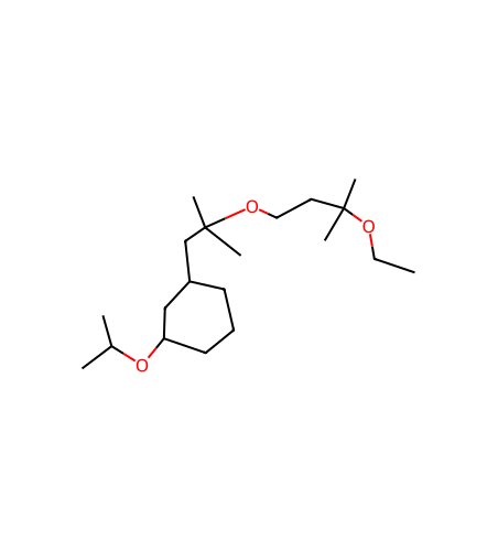 CCOC(C)(C)CCOC(C)(C)CC1CCCC(OC(C)C)C1